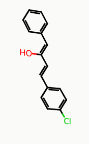 OC(C=Cc1ccc(Cl)cc1)=Cc1ccccc1